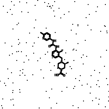 Cc1ccc(NC(=O)Nc2cccc(CN3CCN(C(=O)O)C[C@@H]3C)c2F)cn1